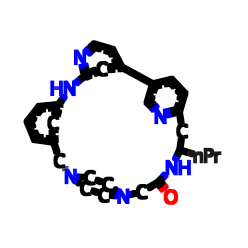 CCCC1Cc2ccc(cn2)-c2ccnc(c2)Nc2cccc(c2)CN2CCN(CC2)CC(=O)N1